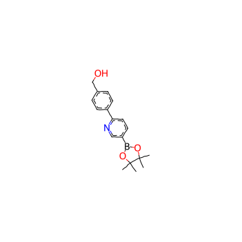 CC1(C)OB(c2ccc(-c3ccc(CO)cc3)nc2)OC1(C)C